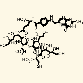 Nc1nc2ncc(CNc3ccc(C(=O)N[C@@H](CCC(=O)N[C@H](C(=O)N[C@@H](CC(=O)O)C(=O)N[C@H](C(=O)N[C@H](C(=O)N[C@@H](CS)C(=O)O)[C@@H](O)[C@H](O)[C@H](O)CO)[C@@H](O)C(O)[C@H](O)CO)[C@@H](O)[C@H](O)[C@H](O)CO)C(=O)O)cc3)nc2c(=O)[nH]1